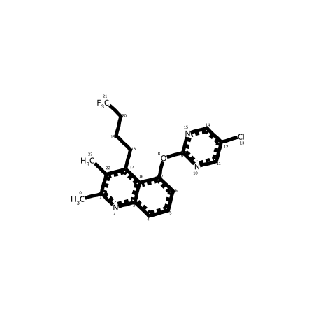 Cc1nc2cccc(Oc3ncc(Cl)cn3)c2c(CCCC(F)(F)F)c1C